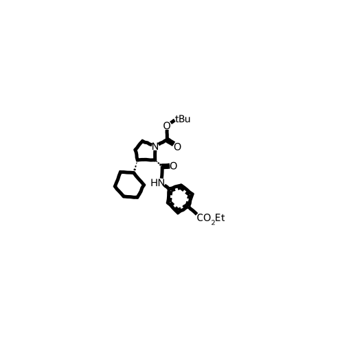 CCOC(=O)c1ccc(NC(=O)[C@@H]2[C@H](C3CCCCC3)CCN2C(=O)OC(C)(C)C)cc1